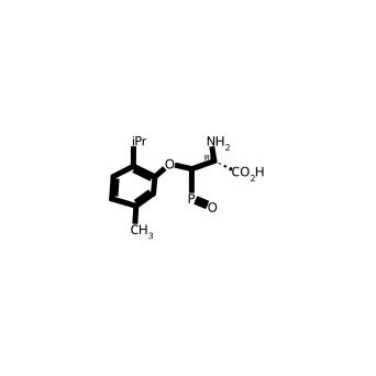 Cc1ccc(C(C)C)c(OC(P=O)[C@H](N)C(=O)O)c1